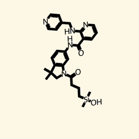 CC1(C)CN(C(=O)CCC[Si](C)(C)O)c2cc(NC(=O)c3cccnc3NCc3ccncc3)ccc21